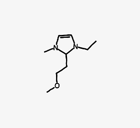 CCN1C=CN(C)C1CCOC